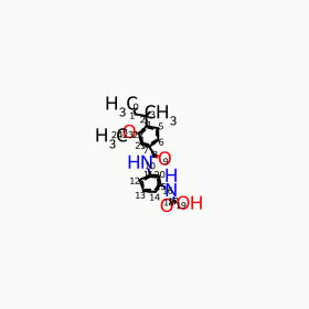 CCC(C)c1ccc(C(=O)Nc2cccc(NC(=O)O)c2)cc1OC